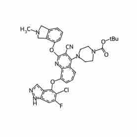 CN1Cc2cccc(Oc3nc4c(Oc5c(Cl)c(F)cc6[nH]ncc56)cccc4c(N4CCN(C(=O)OC(C)(C)C)CC4)c3C#N)c2C1